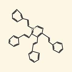 C(=Cc1cc[n+](C=Cc2ccccc2)c(C=Cc2ccccc2)c1C=Cc1ccccc1)c1ccccc1